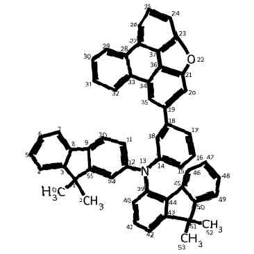 CC1(C)c2ccccc2-c2ccc(N(c3cccc(-c4cc5oc6cccc7c8ccccc8c(c4)c5c67)c3)c3cccc4c3-c3ccccc3C4(C)C)cc21